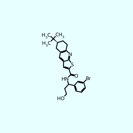 CC(C)(C)[C@H]1CCc2nc3sc(C(=O)NC(CCO)c4cccc(Br)c4)cc3cc2C1